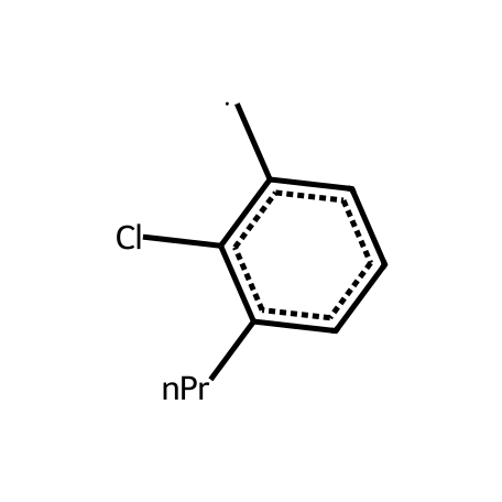 [CH2]c1cccc(CCC)c1Cl